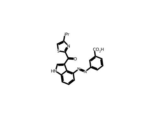 CC(C)c1csc(C(=O)c2c[nH]c3cccc(/N=N/c4cccc(C(=O)O)c4)c23)n1